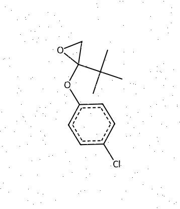 CC(C)(C)C1(Oc2ccc(Cl)cc2)CO1